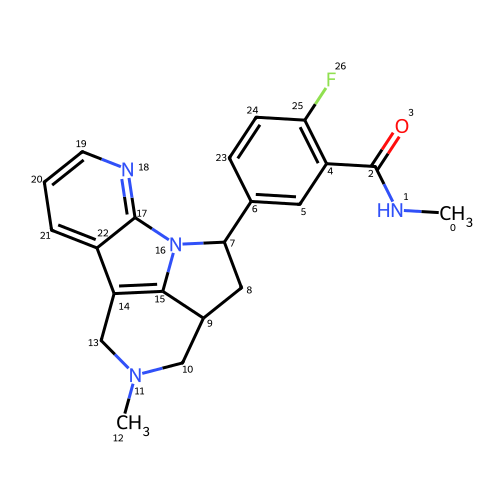 CNC(=O)c1cc(C2CC3CN(C)Cc4c3n2c2ncccc42)ccc1F